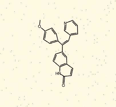 COc1ccc(C(=Cc2cccnc2)c2ccc3[nH]c(=O)ccc3c2)cc1